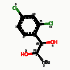 CCCC[C@@H](O)[C@H](O)c1ccc(Cl)cc1Cl